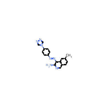 Cc1ccc2cnc(N)c(/N=N/c3ccc(-n4cnnc4)cc3)c2c1